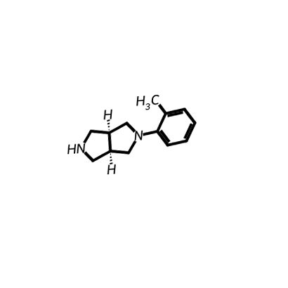 Cc1ccccc1N1C[C@H]2CNC[C@H]2C1